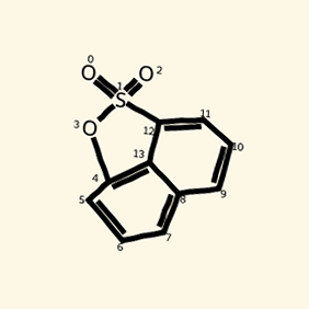 O=S1(=O)Oc2cccc3cccc1c23